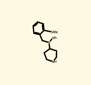 CCCN(Cc1ccccc1SC)C1CCNCC1